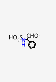 O=[C]C(NS(=O)(=O)O)c1ccccc1